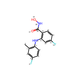 Cc1cc(F)ccc1Nc1cc(F)ccc1C(=O)NO